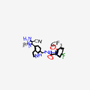 CC(C)n1nc(-c2ccc(CNC(=O)c3cc(F)ccc3OC(F)(F)F)c3[nH]ccc23)c(C#N)c1N